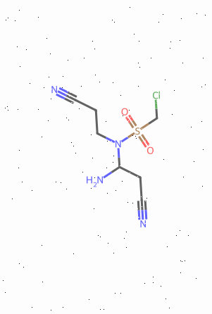 N#CCCN(C(N)CC#N)S(=O)(=O)CCl